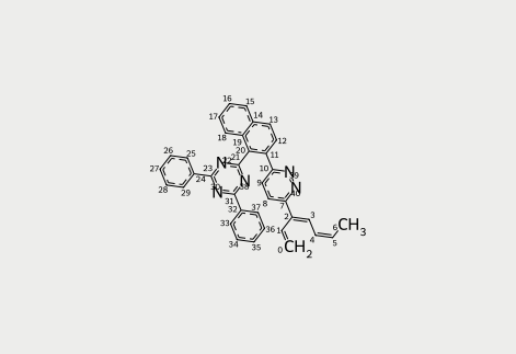 C=C/C(=C\C=C/C)c1ccc(-c2ccc3ccccc3c2-c2nc(-c3ccccc3)nc(-c3ccccc3)n2)nn1